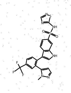 Cn1nccc1-c1cc(C(F)(F)F)ccc1-c1c[nH]c2cc(S(=O)(=O)Nc3ncns3)ccc12